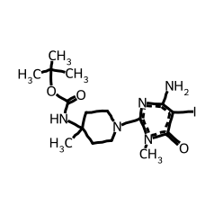 Cn1c(N2CCC(C)(NC(=O)OC(C)(C)C)CC2)nc(N)c(I)c1=O